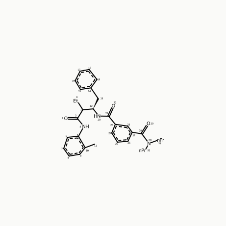 [CH2]CC(C(=O)Nc1ccccc1C)[C@@H](Cc1ccccc1)NC(=O)c1cccc(C(=O)N(CCC)CCC)c1